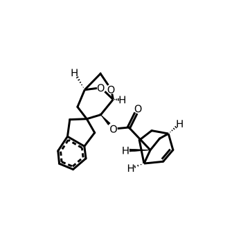 O=C(O[C@@H]1[C@@H]2OC[C@H](CC13Cc1ccccc1C3)O2)[C@@H]1C[C@@H]2C=C[C@H]1CC2